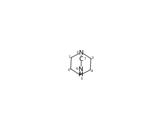 C1CN2CCC1NC2